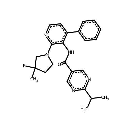 CC(C)c1ncc(C(=O)Nc2c(-c3ccccc3)ccnc2N2CCC(C)(F)C2)cn1